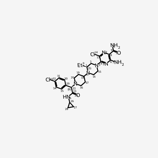 CC[C@H]1CN(c2nc(N)c(C(N)=O)nc2Cl)CCN1C1CCN([C@@H](C(=O)NC2CC2)c2ccc(Cl)cc2)CC1